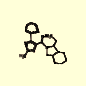 Cc1nc(-c2ccccc2)c(C(=O)N2CC3CCCCC3C2CC(=O)O)s1